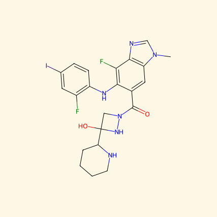 Cn1cnc2c(F)c(Nc3ccc(I)cc3F)c(C(=O)N3CC(O)(C4CCCCN4)N3)cc21